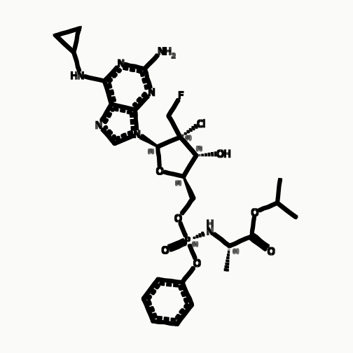 CC(C)OC(=O)[C@H](C)N[P@](=O)(OC[C@H]1O[C@@H](n2cnc3c(NC4CC4)nc(N)nc32)[C@@](Cl)(CF)[C@@H]1O)Oc1ccccc1